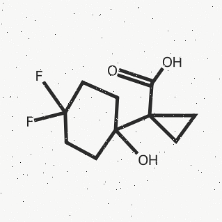 O=C(O)C1(C2(O)CCC(F)(F)CC2)CC1